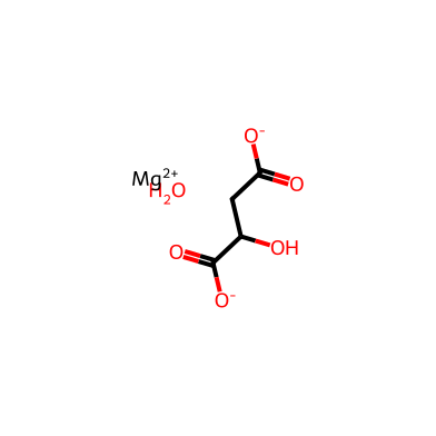 O.O=C([O-])CC(O)C(=O)[O-].[Mg+2]